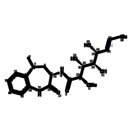 CO[C@@H](C(=O)N[C@H]1CN(C)c2ccccc2NC1=O)[C@H](O)[C@@H](O)[C@H](O)/C=C/C(C)(C)C